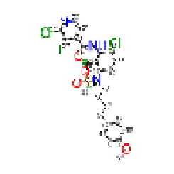 COc1ccc(CCCCN(c2ccc(Cl)c(NC(=O)c3ccnc(Cl)c3F)c2F)S(=O)(=O)F)cc1